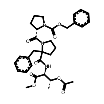 COC(=O)[C@@H](NC(=O)C1(Cc2ccccc2)CCCN1C(=O)[C@@H]1CCCN1C(=O)OCc1ccccc1)[C@@H](C)OC(C)=O